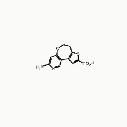 Nc1cc2c(cn1)-c1cc(C(=O)O)sc1CCO2